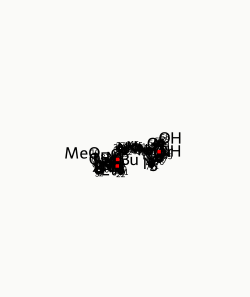 CCc1cccc2cc(OCOC)cc(-c3ncc4c(N5CC6CCC(C5)N6C(=O)OC(C)(C)C)nc(OC[C@@]56CCCN5[C@H](CN5CCC7(CC5)CN(c5cc([C@@H](C(=O)N8C[C@H](O)C[C@H]8C(=O)N[C@@H](C)c8ccc(-c9scnc9C)cc8)C(C)C)on5)C7)CC6)nc4c3F)c12